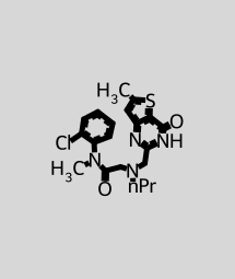 CCCN(CC(=O)N(C)c1ccccc1Cl)Cc1nc2cc(C)sc2c(=O)[nH]1